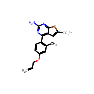 C=CCOc1ccc(-c2nc(N)nc3sc(C(=O)OCC)cc23)c(C)c1